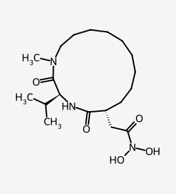 CC(C)[C@@H]1NC(=O)[C@@H](CC(=O)N(O)O)CCCCCCCCCN(C)C1=O